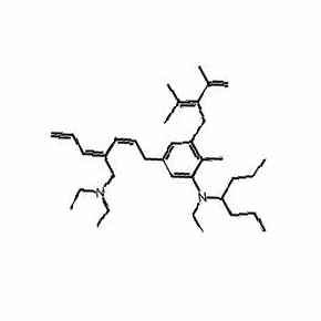 C=C/C=C(\C=C/Cc1cc(CC(C(=C)C)=C(C)C)c(C)c(N(CC)C(CCC)CCC)c1)CN(CC)CC